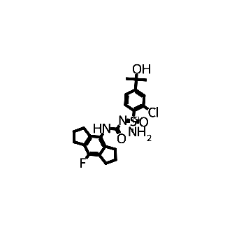 CC(C)(O)c1ccc([S@@](N)(=O)=NC(=O)Nc2c3c(c(F)c4c2CCC4)CCC3)c(Cl)c1